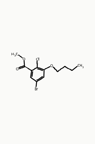 CCCCOc1cc(Br)cc(C(=O)OC)c1Cl